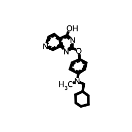 CN(CC1CCCCC1)c1ccc(Oc2nc(O)c3ccncc3n2)cc1